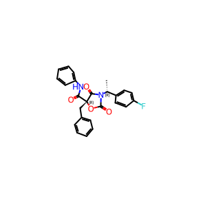 C[C@H](c1ccc(F)cc1)N1C(=O)O[C@](Cc2ccccc2)(C(=O)Nc2ccccc2)C1=O